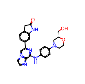 O=C1Cc2ccc(-c3cn4ccnc4c(Nc4ccc(N5CCO[C@@H](CO)C5)cc4)n3)cc2N1